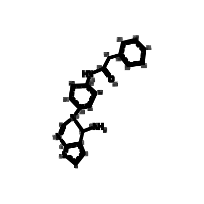 NC1c2ccsc2N=CN1c1ccc(NC(=O)Cc2ccccc2)cc1